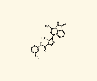 Cc1cc(-n2ncc(C(=O)Nc3ccnc(C(F)(F)F)c3)c2C(F)(F)F)c2cccc3c2c1NC3=O